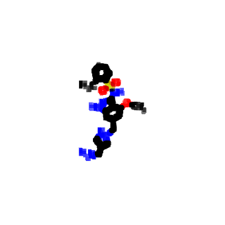 COc1cc(Cn2cc(CN)cn2)cc2[nH]nc(NS(=O)(=O)c3ccccc3C)c12